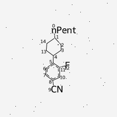 CCCCCC1[CH]CC(c2ccc(C#N)cc2F)CC1